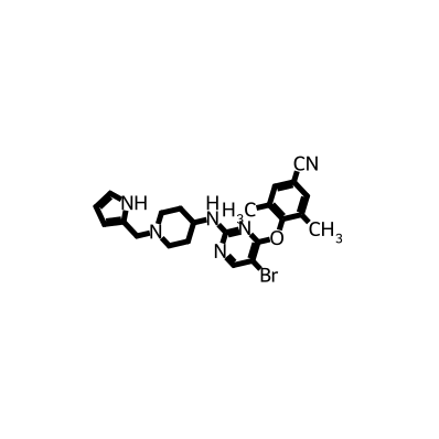 Cc1cc(C#N)cc(C)c1Oc1nc(NC2CCN(Cc3ccc[nH]3)CC2)ncc1Br